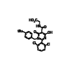 CC(C)(C)c1ccc(Cn2c(-c3c(Cl)cccc3Cl)nc(O)c(C(=O)NCC(=O)O)c2=O)cc1